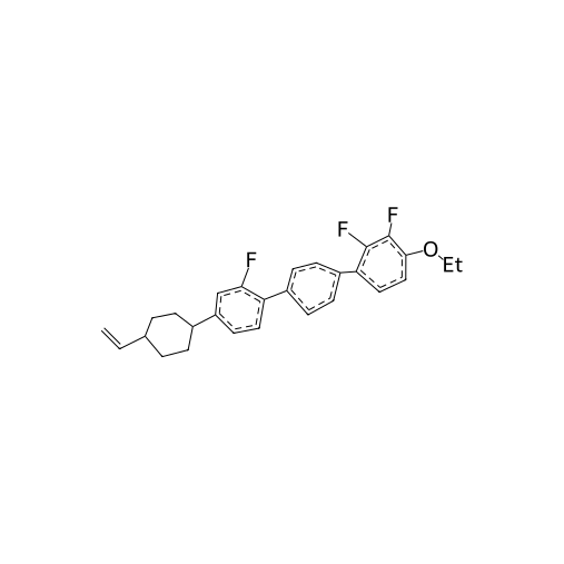 C=CC1CCC(c2ccc(-c3ccc(-c4ccc(OCC)c(F)c4F)cc3)c(F)c2)CC1